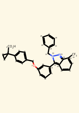 O=C(O)C1(c2ccc(COc3cccc(-c4c5cccc(C(F)(F)F)c5nn4Cc4ccccc4)c3)cc2)CC1